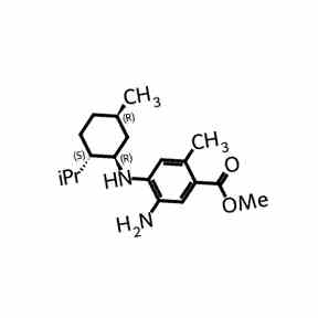 COC(=O)c1cc(N)c(N[C@@H]2C[C@H](C)CC[C@H]2C(C)C)cc1C